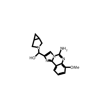 COc1cccc2c1nc(N)n1cc(C(O)N3CC4CC4C3)nc21